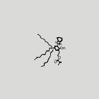 C=C(C)C(=O)OCCc1cc([PH](CCCCCCCC)(CCCCCCCC)CCCCCCCC)cc(-n2nc3ccccc3n2)c1O